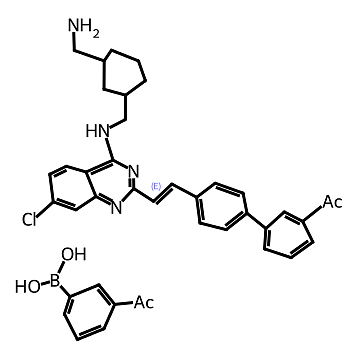 CC(=O)c1cccc(-c2ccc(/C=C/c3nc(NCC4CCCC(CN)C4)c4ccc(Cl)cc4n3)cc2)c1.CC(=O)c1cccc(B(O)O)c1